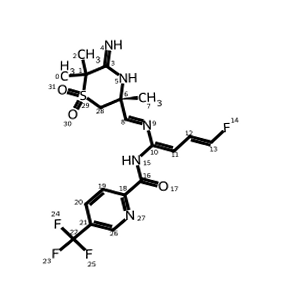 CC1(C)C(=N)N[C@](C)(/C=N/C(=C\C=C\F)NC(=O)c2ccc(C(F)(F)F)cn2)CS1(=O)=O